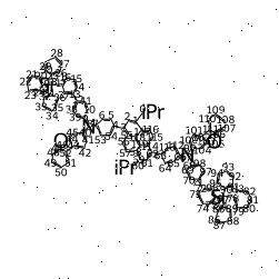 CC(C)c1cc(-c2ccc(N(c3ccc(-c4cccc([Si](c5ccccc5)(c5ccccc5)c5ccccc5)c4)cc3)c3ccc4c(c3)oc3ccccc34)cc2)c2ccc3c(C(C)C)cc(-c4ccc(N(c5ccc(-c6cccc([Si](c7ccccc7)(c7ccccc7)c7ccccc7)c6)cc5)c5ccc6c(c5)oc5ccccc56)cc4)c4ccc1c2c43